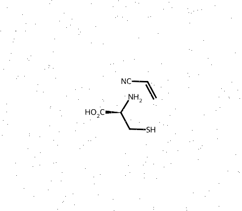 C=CC#N.N[C@@H](CS)C(=O)O